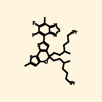 Cc1cc2c(s1)-c1sc(-c3c(F)c(F)c(C)c4nsnc34)cc1C(CCC(C)CCCC(C)C)(CCC(C)CCCC(C)C)O2